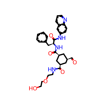 O=C[C@H]1C[C@@H](C(=O)NCCOCCO)C[C@@H](C(=O)N[C@@H](Cc2ccccc2)C(=O)Nc2ccc3ncccc3c2)C1